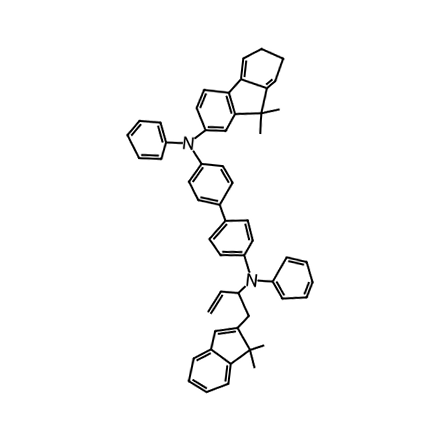 C=CC(CC1=Cc2ccccc2C1(C)C)N(c1ccccc1)c1ccc(-c2ccc(N(c3ccccc3)c3ccc4c(c3)C(C)(C)C3=CCCC=C34)cc2)cc1